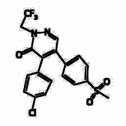 CS(=O)(=O)c1ccc(-c2cnn(CC(F)(F)F)c(=O)c2-c2ccc(Cl)cc2)cc1